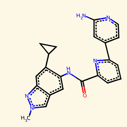 Cn1cc2cc(NC(=O)c3cccc(-c4ccnc(N)c4)n3)c(C3CC3)cc2n1